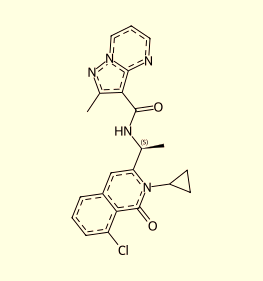 Cc1nn2cccnc2c1C(=O)N[C@@H](C)c1cc2cccc(Cl)c2c(=O)n1C1CC1